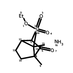 CCOS(=O)(=O)C1C(=O)C2(C)CCC1C2(C)C.N